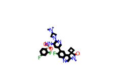 CN1C(=O)C2(CCC2)c2c1cnc1cc(F)c(-c3cnc(N4CC(N(C)C)C4)c(NS(=O)(=O)c4ccc(F)cc4F)c3)cc21